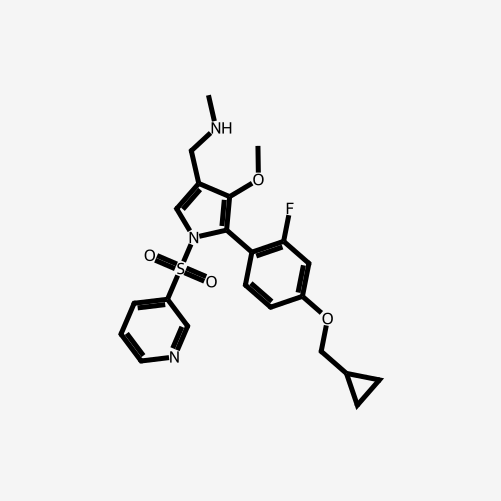 CNCc1cn(S(=O)(=O)c2cccnc2)c(-c2ccc(OCC3CC3)cc2F)c1OC